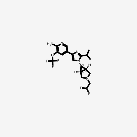 CC(C)c1nc(-c2cnc(N)c(OC(F)(F)F)c2)cn1[C@@H]1[C@@H]2CN(CC(F)F)C[C@@H]21